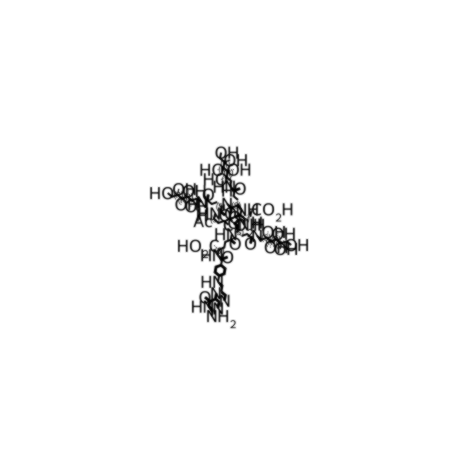 CC(=O)[C@H](CCC(=O)O)NC(=O)[C@H](CCC(=O)NC[C@H](O)[C@@H](O)[C@H](O)[C@H](O)CO)NC(=O)[C@H](CCC(=O)NC[C@H](O)[C@@H](O)[C@H](O)[C@H](O)CO)NC(=O)[C@H](CCC(=O)O)NC(=O)[C@H](CCC(=O)NC[C@H](O)[C@@H](O)[C@H](O)[C@H](O)CO)NC(=O)CC[C@H](NC(=O)c1ccc(NCc2cnc3nc(N)[nH]c(=O)c3n2)cc1)C(=O)O